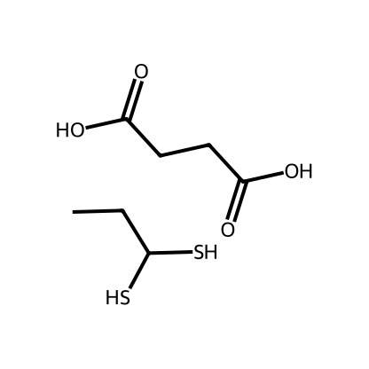 CCC(S)S.O=C(O)CCC(=O)O